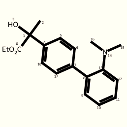 CCOC(=O)C(C)(O)c1ccc(-c2ccccc2N(C)C)cc1